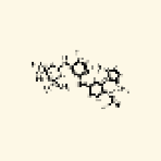 Cc1ccc(C)n1-c1cc(Nc2ncc(F)c(NC3CC(C)(C)NC(C)(C)C3)n2)ccc1OC(F)F